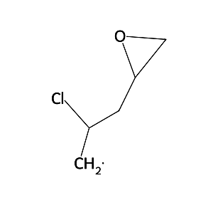 [CH2]C(Cl)CC1CO1